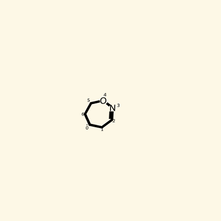 [CH]1CC=NOCC1